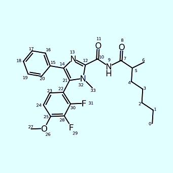 CCCCCC(C)C(=O)NC(=O)c1nc(-c2ccccc2)c(-c2ccc(OC)c(F)c2F)n1C